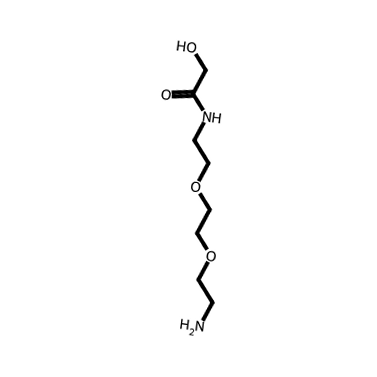 NCCOCCOCCNC(=O)CO